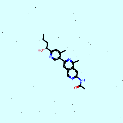 CCC[C@@H](O)c1cc(C)c(-c2cc3cnc(NC(C)=O)cc3c(C)n2)cn1